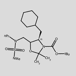 CCCN(CC1OC(C)(C)N(C(=O)OC(C)(C)C)[C@@H]1CC1CCCCC1)S(=O)(=O)NC